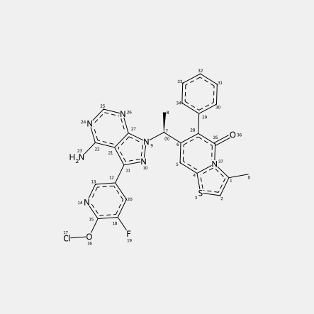 Cc1csc2cc([C@H](C)n3nc(-c4cnc(OCl)c(F)c4)c4c(N)ncnc43)c(-c3ccccc3)c(=O)n12